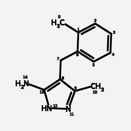 Cc1ccccc1Cc1c(C)n[nH]c1N